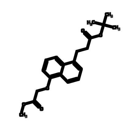 COC(=O)COc1cccc2c(CCC(=O)OC(C)(C)C)cccc12